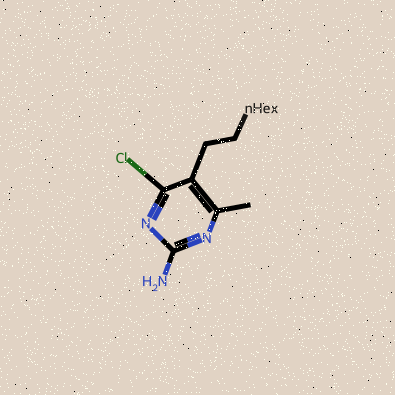 CCCCCCCCc1c(C)nc(N)nc1Cl